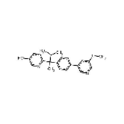 COc1cncc(-c2ccc(C(C)(c3ccc(O)cn3)C(C)C)cc2)c1